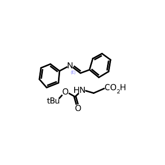 C(=N\c1ccccc1)/c1ccccc1.CC(C)(C)OC(=O)NCC(=O)O